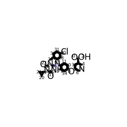 O=C(O)c1cncc(Oc2ccc(/N=c3\[nH]c(=O)n(C4CC4)c(=O)n3Cc3ccc(Cl)cc3)cc2)c1